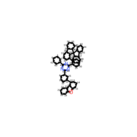 c1ccc(-c2nc(-c3cccc(-c4cccc5oc6ccccc6c45)c3)nc(-c3ccccc3-c3cccc4c3C3(c5ccccc5-c5ccccc53)c3ccccc3-4)n2)cc1